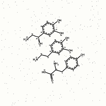 NC(Cc1ccc(O)cc1)C(=O)O.NCCc1ccc(O)c(O)c1.NC[C@H](O)c1ccc(O)c(O)c1